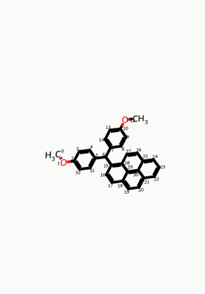 COc1ccc(C(c2ccc(OC)cc2)c2ccc3ccc4cccc5ccc2c3c45)cc1